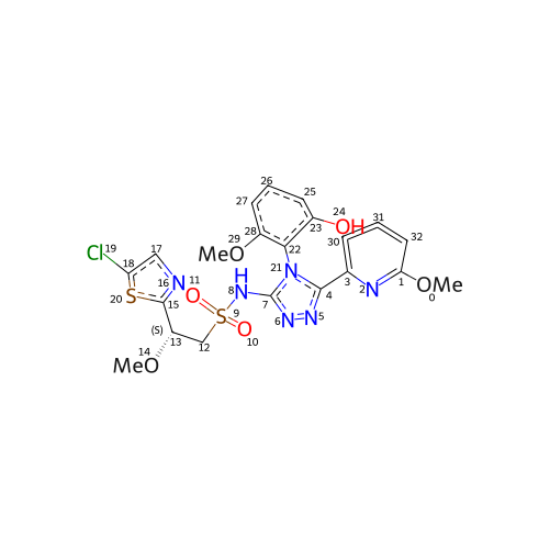 COC1=NC(c2nnc(NS(=O)(=O)C[C@H](OC)c3ncc(Cl)s3)n2-c2c(O)cccc2OC)=C=C=C1